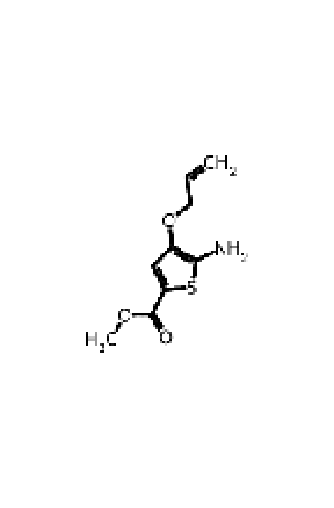 C=CCOc1cc(C(=O)OC)sc1N